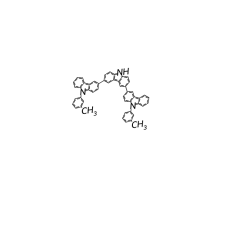 Cc1cccc(-n2c3ccccc3c3cc(-c4ccc5[nH]c6ccc(-c7ccc8c(c7)c7ccccc7n8-c7cccc(C)c7)cc6c5c4)ccc32)c1